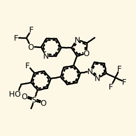 Cc1nc(-c2ccc(OC(F)F)nc2)c(-c2cc(-c3cc(F)c(CO)c(S(C)(=O)=O)c3)ccc2-n2ccc(C(F)(F)F)n2)o1